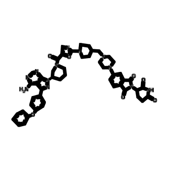 Nc1ncnc2c1c(-c1ccc(Oc3ccccc3)cc1)nn2[C@@H]1CCCN(C(=O)c2cnc(N3CCC(CN4CCN(c5ccc6c(c5)C(=O)N(C5CCC(=O)NC5=O)C6=O)CC4)CC3)o2)C1